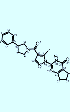 Cc1c(C(=O)N2CCC(c3ccccc3)C2)cnn1-c1nc2c(c(=O)[nH]1)CCC2